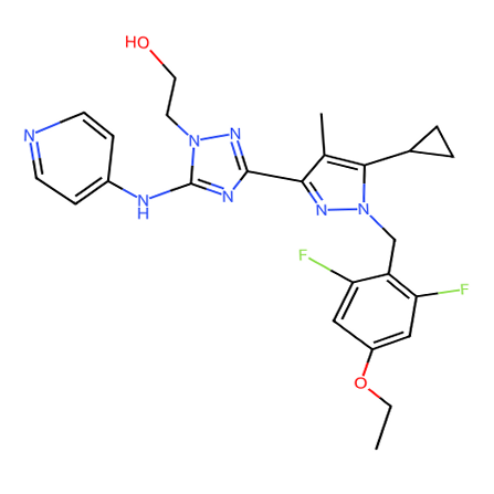 CCOc1cc(F)c(Cn2nc(-c3nc(Nc4ccncc4)n(CCO)n3)c(C)c2C2CC2)c(F)c1